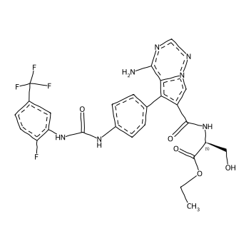 CCOC(=O)[C@H](CO)NC(=O)c1cn2ncnc(N)c2c1-c1ccc(NC(=O)Nc2cc(C(F)(F)F)ccc2F)cc1